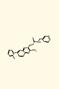 Cc1ccccc1-c1ccc2nc(N)c(CCC(=O)NCc3ccnnc3)cc2c1